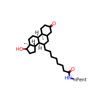 CCCCCNC(=O)CCCCCCCC1CC2CC(=O)CC[C@]2(C)[C@@H]2CC[C@]3(C)C(O)CC[C@H]3[C@H]12